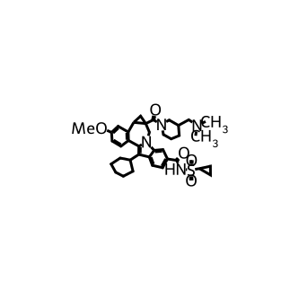 COc1ccc2c(c1)C1CC1(C(=O)N1CCCC(CN(C)C)C1)Cn1c-2c(C2CCCCC2)c2ccc(C(=O)NS(=O)(=O)C3CC3)cc21